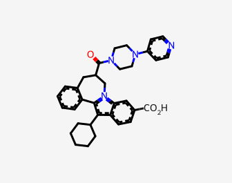 O=C(O)c1ccc2c(C3CCCCC3)c3n(c2c1)CC(C(=O)N1CCN(c2ccncc2)CC1)Cc1ccccc1-3